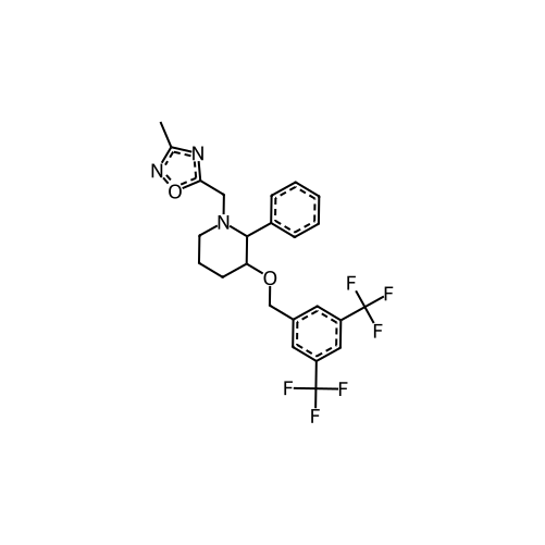 Cc1noc(CN2CCCC(OCc3cc(C(F)(F)F)cc(C(F)(F)F)c3)C2c2ccccc2)n1